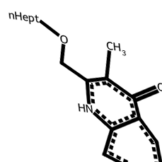 CCCCCCCOCc1[nH]c2ccccc2c(=O)c1C